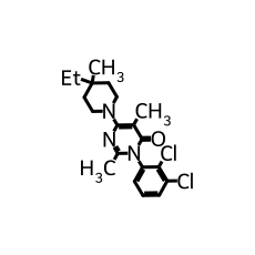 CCC1(C)CCN(c2nc(C)n(-c3cccc(Cl)c3Cl)c(=O)c2C)CC1